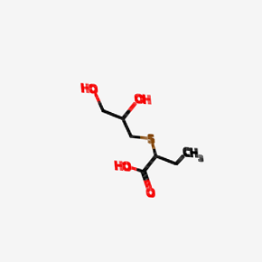 CCC(SCC(O)CO)C(=O)O